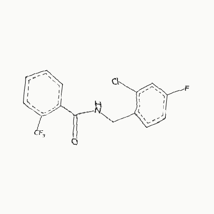 O=C(NCc1ccc(F)cc1Cl)c1ccccc1C(F)(F)F